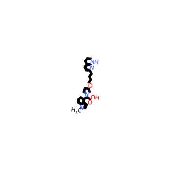 Cn1ccc2c(C(C(=O)O)N3CCC(OCCCCc4ccc5c(n4)NCCC5)C3)cccc21